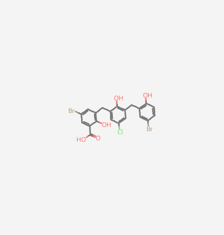 O=C(O)c1cc(Br)cc(Cc2cc(Cl)cc(Cc3cc(Br)ccc3O)c2O)c1O